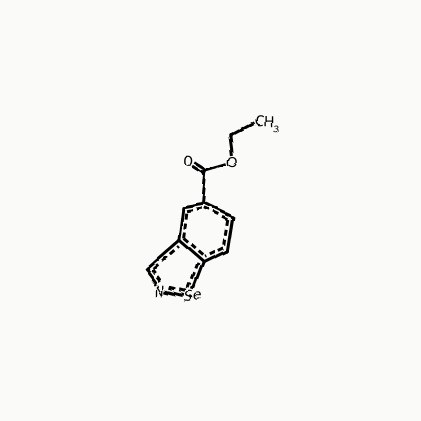 CCOC(=O)c1ccc2[se]ncc2c1